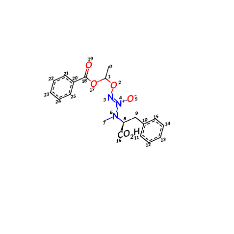 CC(O/N=[N+](\[O-])N(C)[C@@H](Cc1ccccc1)C(=O)O)OC(=O)c1ccccc1